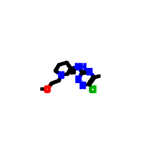 COCCN1CCC[C@@H](Nc2nnc(Cl)c(C)n2)C1